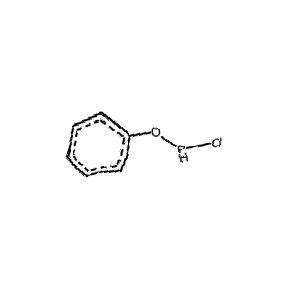 ClPOc1ccccc1